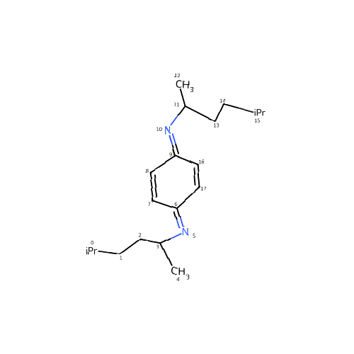 CC(C)CCC(C)N=C1C=CC(=NC(C)CCC(C)C)C=C1